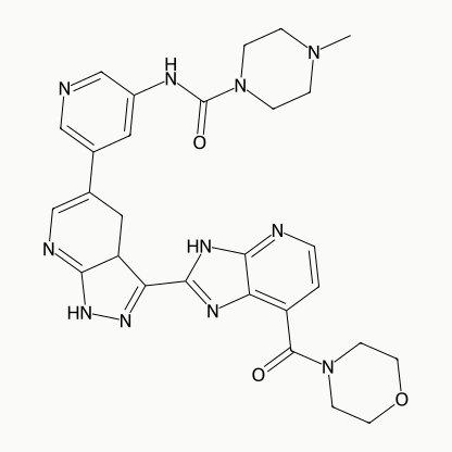 CN1CCN(C(=O)Nc2cncc(C3=CN=C4NN=C(c5nc6c(C(=O)N7CCOCC7)ccnc6[nH]5)C4C3)c2)CC1